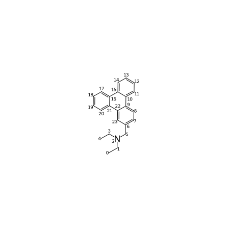 CCN(CC)Cc1ccc2c3ccccc3c3ccccc3c2c1